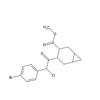 COC(=O)C1CC2CC2CC1C(=O)C(Cl)c1ccc(Br)cc1